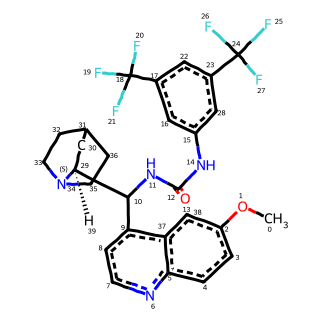 COc1ccc2nccc(C(NC(=O)Nc3cc(C(F)(F)F)cc(C(F)(F)F)c3)[C@@H]3CC4CCN3CC4)c2c1